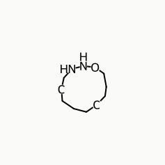 C1CCCCNNOCCCC1